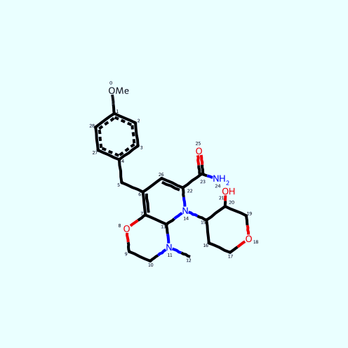 COc1ccc(CC2=C3OCCN(C)C3N(C3CCOCC3O)C(C(N)=O)=C2)cc1